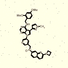 COc1ccc(CNc2ncnc3c2c(-c2ccn(C)n2)cn3-c2cncc(C[S+]([O-])c3ccc4ccc(N5CCC5)nc4c3)c2)c(OC)c1